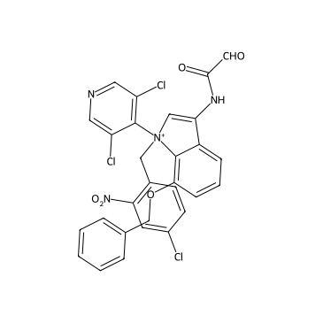 O=CC(=O)NC1=C[N+](Cc2ccc(Cl)cc2[N+](=O)[O-])(c2c(Cl)cncc2Cl)c2c(OCc3ccccc3)cccc21